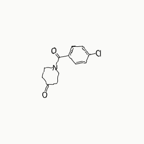 O=C1CCN(C(=O)c2ccc(Cl)cc2)CC1